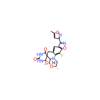 Cc1cc(-c2noc3c(F)c4c(cc23)CC2(C(=O)NC(=O)NC2=O)[C@@H]2[C@@H](C)O[C@@H](C)CN42)no1